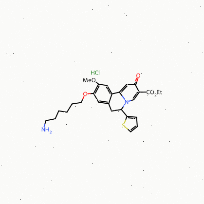 CCOC(=O)c1cn2c(cc1=O)-c1cc(OC)c(OCCCCCCN)cc1CC2c1cccs1.Cl